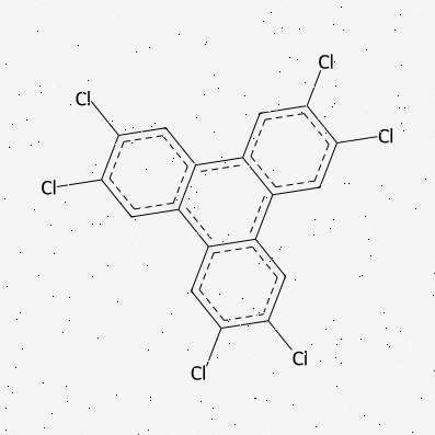 Clc1cc2c3cc(Cl)c(Cl)cc3c3cc(Cl)c(Cl)cc3c2cc1Cl